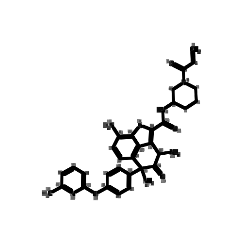 C=CC(=O)N1CCCC(NC(=O)c2sc3c(N)ccc4c3c2C(N)C(=O)C4(N)c2ccc(Oc3cccc(C)n3)cc2)C1